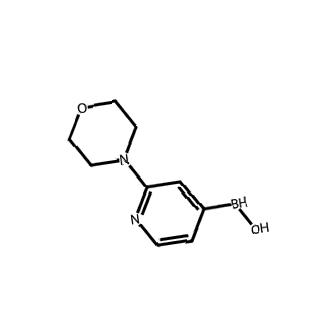 OBc1ccnc(N2CCOCC2)c1